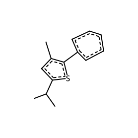 Cc1cc(C(C)C)sc1-c1ccccc1